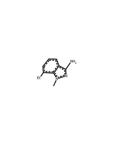 CCc1cccc2c(N)nn(C)c12